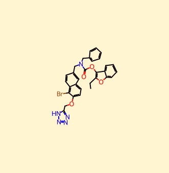 CCc1oc2ccccc2c1OC(=O)N(Cc1ccccc1)Cc1ccc2c(Br)c(OCc3nnn[nH]3)ccc2c1